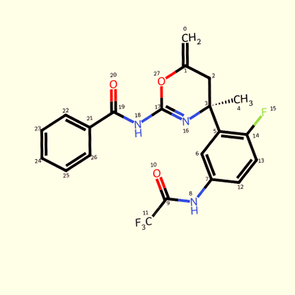 C=C1C[C@@](C)(c2cc(NC(=O)C(F)(F)F)ccc2F)N=C(NC(=O)c2ccccc2)O1